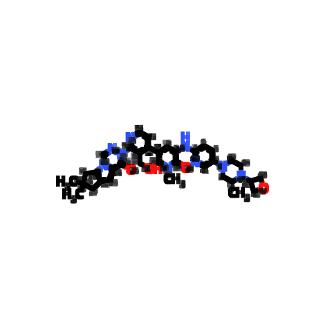 C[C@@H]1CN(c2ccc(Nc3cc(-c4ccnc(-n5ncn6c7c(cc6c5=O)CC(C)(C)C7)c4CO)cn(C)c3=O)nc2)CCN1C1COC1